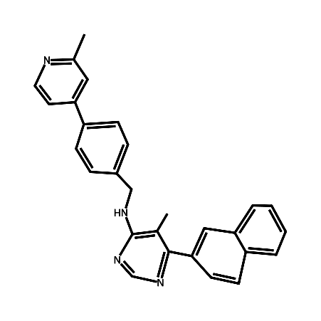 Cc1cc(-c2ccc(CNc3ncnc(-c4ccc5ccccc5c4)c3C)cc2)ccn1